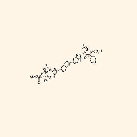 COC(=O)N[C@H](C(=O)N1[C@@H]2C[C@H]2C[C@H]1c1nc(-c2ccc3cc(-c4ccc5[nH]c([C@@H]6C[C@H]7C[C@H]7N6C(=O)[C@H](C6CCOCC6)N(C)C(=O)O)nc5c4)ccc3c2)c[nH]1)C(C)C